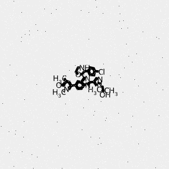 Cc1cc(-c2ccc3nc(-c4cnn(CC(C)(C)O)c4)nc([C@H]4OCCNC4c4ccc(Cl)cc4)c3c2)cn(C)c1=O